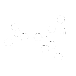 CC1(C)c2ccccc2-c2ccc(N(c3ccc(-c4ccc5c(c4)c4ccccc4n5-c4ccccc4)cc3)c3ccc(-c4cccnc4)c4ccccc34)cc21